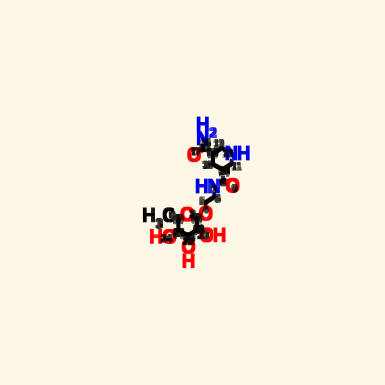 C[C@@H]1O[C@@H](OCCNC(=O)[C@H]2CNC[C@@H](C(N)=O)C2)[C@@H](O)[C@H](O)[C@@H]1O